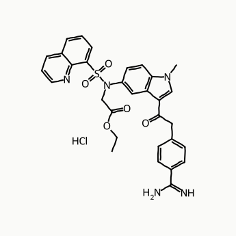 CCOC(=O)CN(c1ccc2c(c1)c(C(=O)Cc1ccc(C(=N)N)cc1)cn2C)S(=O)(=O)c1cccc2cccnc12.Cl